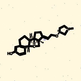 CN1CC[C@@H](OC/C=C2\CC[C@H]3[C@@H]4CCc5cc(O)ccc5[C@H]4CC[C@]23C)C1